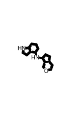 c1cc(Nc2ccc3ccocc2-3)c2cc[nH]c2c1